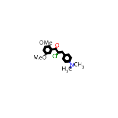 COc1ccc(OC)c(C(=O)/C(Cl)=C/c2ccc(N(C)C)cc2)c1